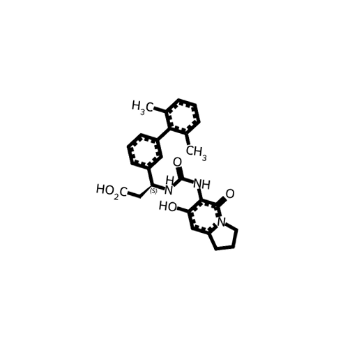 Cc1cccc(C)c1-c1cccc([C@H](CC(=O)O)NC(=O)Nc2c(O)cc3n(c2=O)CCC3)c1